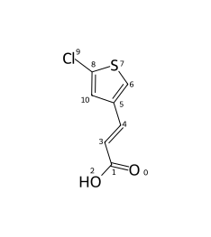 O=C(O)C=Cc1csc(Cl)c1